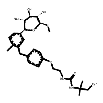 CS[C@H]1O[C@@H](c2ccc(C)c(Cc3ccc(OCCNC(=O)NC(C)(C)CO)cc3)c2)[C@H](O)[C@@H](O)[C@@H]1O